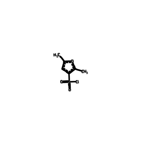 Cc1cc(S(=O)(=O)Cl)c(C)o1